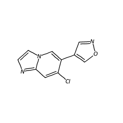 Clc1cc2nccn2cc1-c1cnoc1